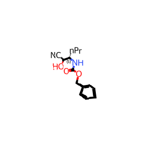 CCC[C@H](NC(=O)OCc1ccccc1)C(O)C#N